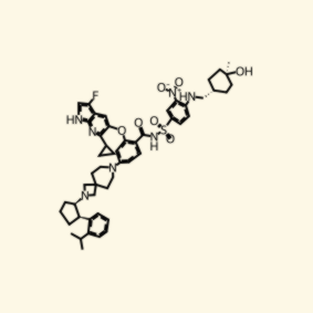 CC(C)c1ccccc1[C@H]1CCC[C@H]1N1CC2(CCN(c3ccc(C(=O)NS(=O)(=O)c4ccc(NC[C@H]5CC[C@](C)(O)CC5)c([N+](=O)[O-])c4)c(Oc4cc5c(F)c[nH]c5nc4C4CC4)c3)CC2)C1